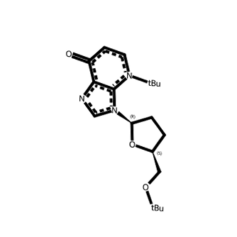 CC(C)(C)OC[C@@H]1CC[C@H](n2cnc3c(=O)ccn(C(C)(C)C)c32)O1